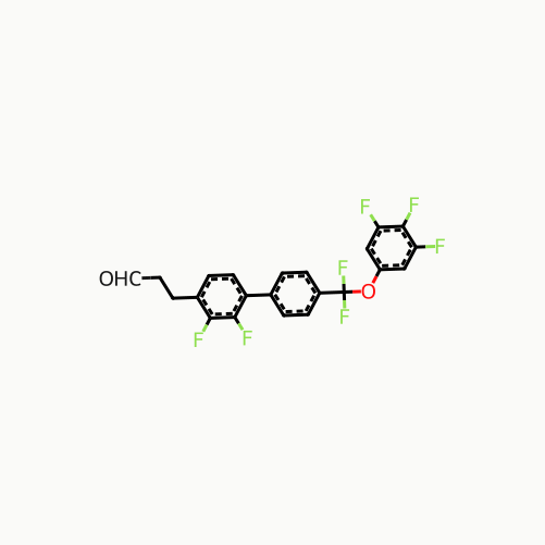 O=CCCc1ccc(-c2ccc(C(F)(F)Oc3cc(F)c(F)c(F)c3)cc2)c(F)c1F